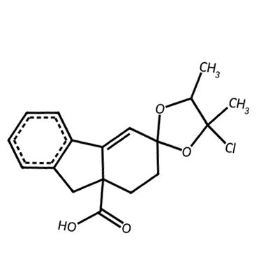 CC1OC2(C=C3c4ccccc4CC3(C(=O)O)CC2)OC1(C)Cl